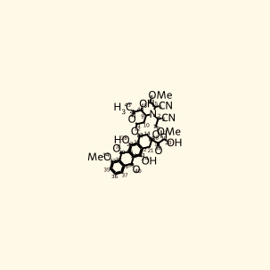 COCC(C#N)N(C(C#N)COC)C1CC(O[C@H]2C[C@](O)(C(=O)CO)Cc3c(O)c4c(c(O)c32)C(=O)c2c(OC)cccc2C4=O)OC(C)C1O